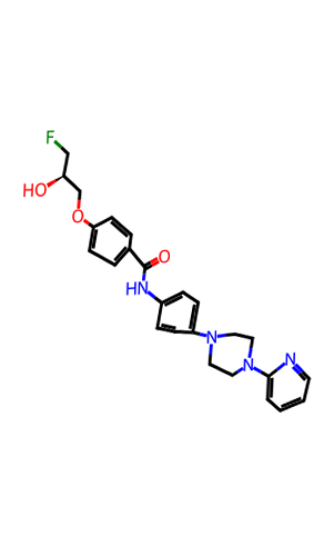 O=C(Nc1ccc(N2CCN(c3ccccn3)CC2)cc1)c1ccc(OC[C@@H](O)CF)cc1